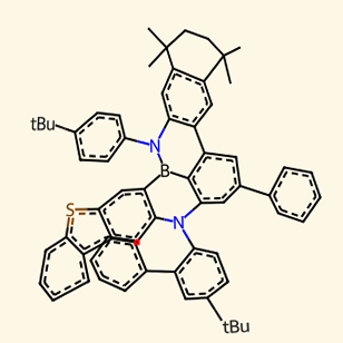 CC(C)(C)c1ccc(N2B3c4cc5sc6ccccc6c5cc4N(c4ccc(C(C)(C)C)cc4-c4ccccc4)c4cc(-c5ccccc5)cc(c43)-c3cc4c(cc32)C(C)(C)CCC4(C)C)cc1